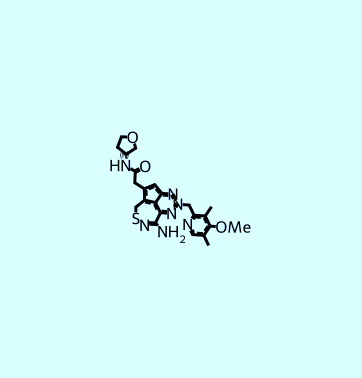 COc1c(C)cnc(Cn2nc3cc(CC(=O)N[C@@H]4CCOC4)c4c-3c(n2)C(N)=NSC4)c1C